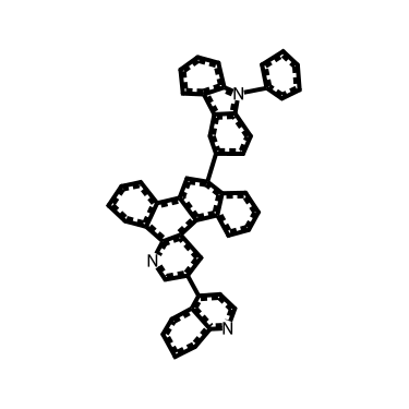 c1ccc(-n2c3ccccc3c3cc(-c4cc5c6ccccc6c6ncc(-c7ccnc8ccccc78)cc6c5c5ccccc45)ccc32)cc1